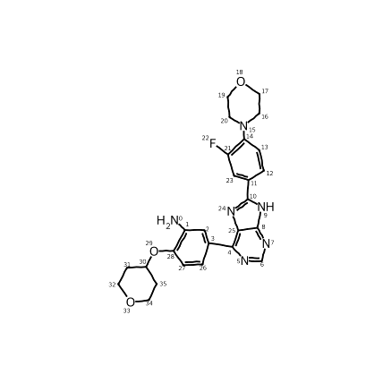 Nc1cc(-c2ncnc3[nH]c(-c4ccc(N5CCOCC5)c(F)c4)nc23)ccc1OC1CCOCC1